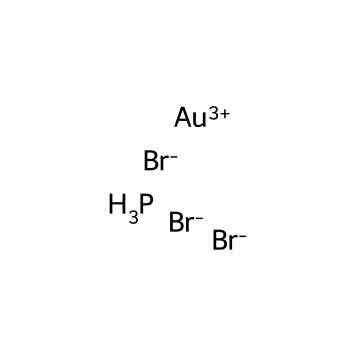 P.[Au+3].[Br-].[Br-].[Br-]